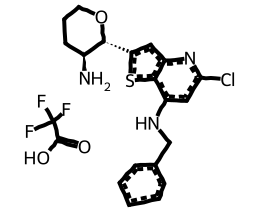 N[C@H]1CCCO[C@@H]1c1cc2nc(Cl)cc(NCc3ccccc3)c2s1.O=C(O)C(F)(F)F